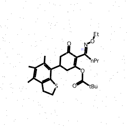 CCC/C(=N\OCC)C1=C(OC(=O)C(C)(C)C)CC(c2c(C)c(C)c(C)c3c2SCC3)CC1=O